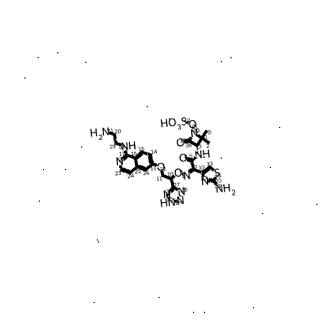 CC1(C)[C@H](NC(=O)/C(=N\OC(COc2ccc3c(NCCN)nccc3c2)c2nn[nH]n2)c2csc(N)n2)C(=O)N1OS(=O)(=O)O